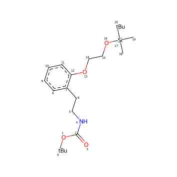 CC(C)(C)OC(=O)NCCc1ccccc1OCCO[Si](C)(C)C(C)(C)C